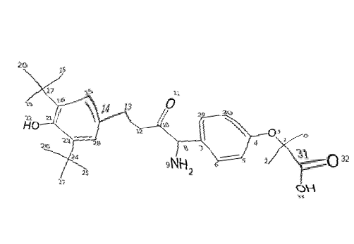 CC(C)(Oc1ccc(C(N)C(=O)CCc2cc(C(C)(C)C)c(O)c(C(C)(C)C)c2)cc1)C(=O)O